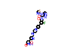 CN(Cc1ccc(C2CCC(=O)NC2=O)cn1)C1CCN(c2ccc(-c3cc(F)c4c(c3)C(=O)N(C(C(=O)Nc3nccs3)c3ncn5c3CCC5)C4)cc2)CC1